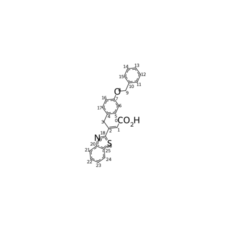 O=C(O)C=C(Cc1ccc(OCc2ccccc2)cc1)c1nc2ccccc2s1